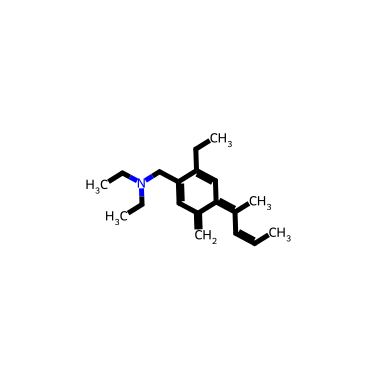 C=c1cc(CN(CC)CC)c(CC)c/c1=C(C)/C=C\C